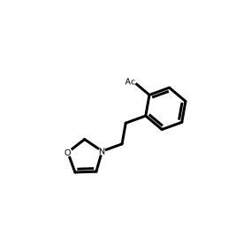 CC(=O)c1ccccc1CCN1C=COC1